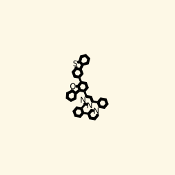 c1ccc(-c2cc(-c3ccc(-c4ccc5sc6ccccc6c5c4)c4oc5ccccc5c34)nc(-c3ccccc3-c3cccnc3)n2)cc1